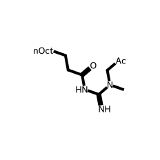 CCCCCCCCCCC(=O)NC(=N)N(C)CC(C)=O